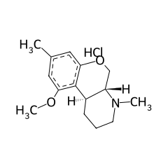 COc1cc(C)cc2c1[C@@H]1CCCN(C)[C@H]1CO2.Cl